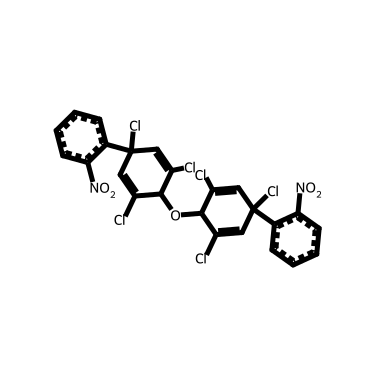 O=[N+]([O-])c1ccccc1C1(Cl)C=C(Cl)C(OC2C(Cl)=CC(Cl)(c3ccccc3[N+](=O)[O-])C=C2Cl)C(Cl)=C1